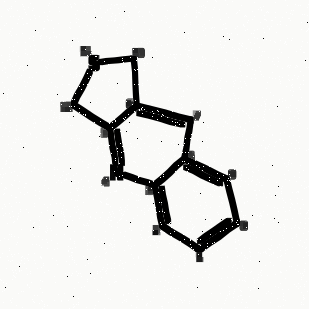 c1ccc2nc3c(cc2c1)CSC3